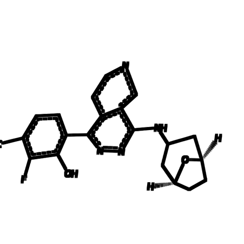 Cc1ccc(-c2nnc(NC3C[C@H]4CC[C@@H](C3)O4)c3cnccc23)c(O)c1F